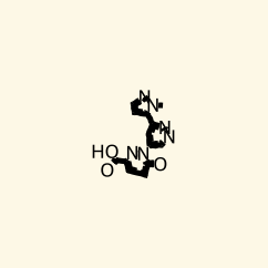 Cn1nccc1-c1cc(-n2nc(C(=O)O)ccc2=O)cnn1